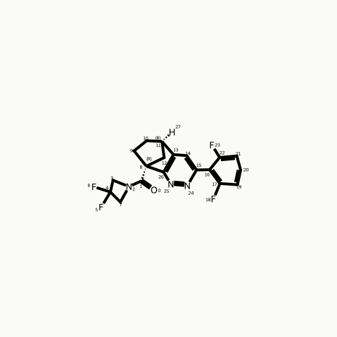 O=C(N1CC(F)(F)C1)[C@]12CC[C@H](C1)c1cc(-c3c(F)cccc3F)nnc12